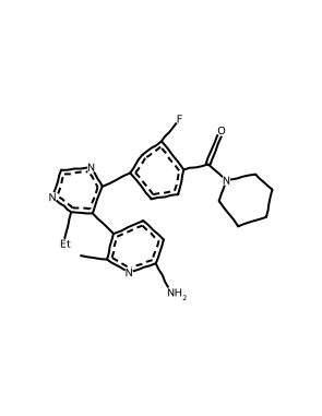 CCc1ncnc(-c2ccc(C(=O)N3CCCCC3)c(F)c2)c1-c1ccc(N)nc1C